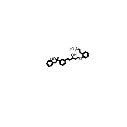 CC(O)(Cc1ccccc1)c1cccc(/C=C/[C@H](O)CCOc2ccccc2CCC(=O)O)c1